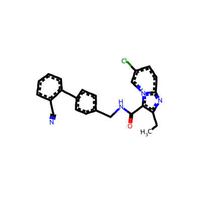 CCc1nc2ccc(Cl)cn2c1C(=O)NCc1ccc(-c2ccccc2C#N)cc1